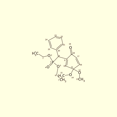 CCOP(=O)(OCC)C(C1=CC(OC)(OC)C=CC1=O)c1ccccc1